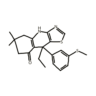 CCC1(c2cccc(SC)c2)C2=C(CC(C)(C)CC2=O)Nc2ncsc21